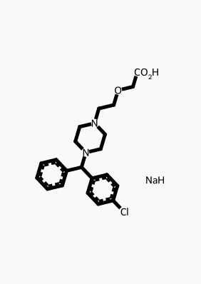 O=C(O)COCCN1CCN(C(c2ccccc2)c2ccc(Cl)cc2)CC1.[NaH]